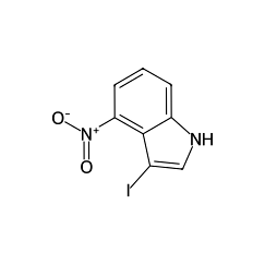 O=[N+]([O-])c1cccc2[nH]cc(I)c12